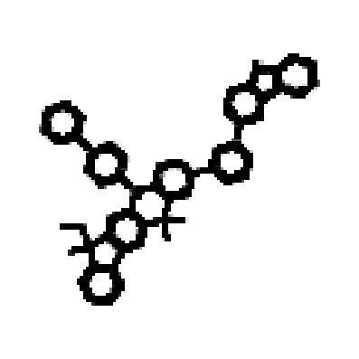 CCC1(C)c2ccccc2-c2cc3c(cc21)N(c1ccc(-c2ccccc2)cc1)c1ccc(-c2cccc(-c4ccc5sc6ccccc6c5c4)c2)cc1C3(C)C